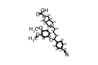 COc1ccc(OC(CCCN2CC3CN(C(=O)O)CC3C2)c2ccc(C#N)cc2)cc1OC